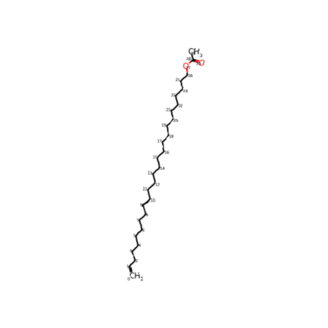 C=CCCCCCCCCCCCCCCCCCCCCCCCCCOC(C)=O